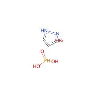 Br.O=[PH](O)O.c1cn[nH]c1